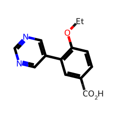 CCOc1ccc(C(=O)O)cc1-c1cncnc1